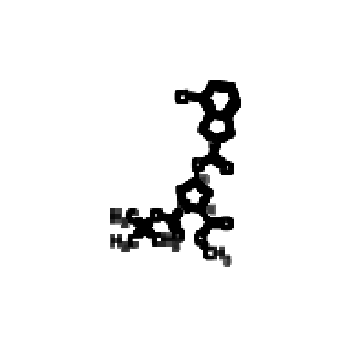 COC(=O)[C@@H]1C[C@@H](OC(=O)N2Cc3cccc(Cl)c3C2)CN1C(=O)OC(C)(C)C